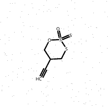 C#CC1COS(=O)(=S)SC1